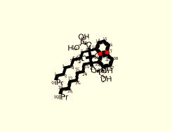 CC(C)CCCCCCCC(OP(O)O)(c1ccccc1)C(C)(C)C(CCCCCCCC(C)C)(OP(O)O)c1ccccc1